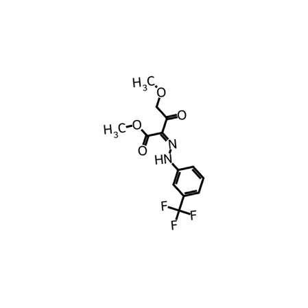 COCC(=O)C(=NNc1cccc(C(F)(F)F)c1)C(=O)OC